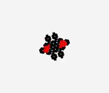 Cc1ccc(N(c2ccc(C)cc2)c2cc(N(c3ccc(C)cc3)c3ccc(C)cc3)c3c(Oc4ccc5ccccc5c4)cc4c(N(c5ccc(C)cc5)c5ccc(C)cc5)cc(N(c5ccc(C)cc5)c5ccc(C)cc5)c5c(Oc6ccc7ccccc7c6)cc2c3c45)cc1